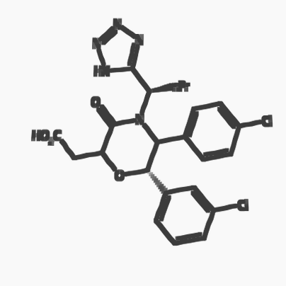 CCC[C@H](c1nnn[nH]1)N1C(=O)C(CC(=O)O)O[C@@H](c2cccc(Cl)c2)C1c1ccc(Cl)cc1